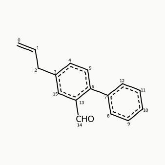 C=CCc1ccc(-c2ccccc2)c(C=O)c1